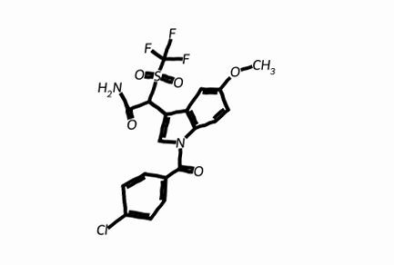 COc1ccc2c(c1)c(C(C(N)=O)S(=O)(=O)C(F)(F)F)cn2C(=O)c1ccc(Cl)cc1